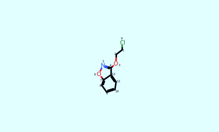 ClCCOc1noc2ccccc12